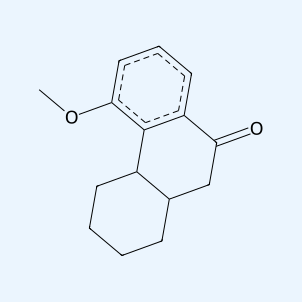 COc1cccc2c1C1CCCCC1CC2=O